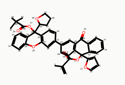 C=C(C)C(=O)OC1(c2ccco2)c2ccccc2C(=O)c2cc(-c3ccc4c(c3)Oc3ccccc3C4(OC(=O)C(C)(C)C)C3CCCO3)ccc21